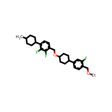 CCOCc1ccc(C2CCC(OCc3ccc(C4CCC(C)CC4)c(F)c3F)CC2)cc1F